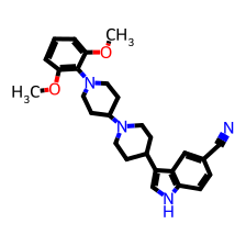 COc1cccc(OC)c1N1CCC(N2CCC(c3c[nH]c4ccc(C#N)cc34)CC2)CC1